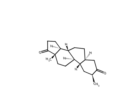 C[C@H]1C[C@H]2[C@@H](CC[C@@H]3[C@@H]2CC[C@]2(C)C(=O)CC[C@@H]32)CC1=O